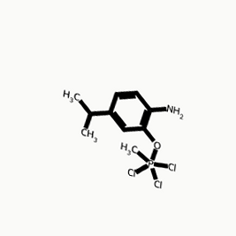 CC(C)c1ccc(N)c(OP(C)(Cl)(Cl)Cl)c1